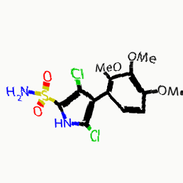 COc1ccc(-c2c(Cl)[nH]c(S(N)(=O)=O)c2Cl)c(OC)c1OC